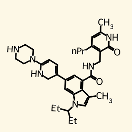 CCCc1cc(C)[nH]c(=O)c1CNC(=O)c1cc(C2=CC=C(N3CCNCC3)NC2)cc2c1c(C)cn2C(CC)CC